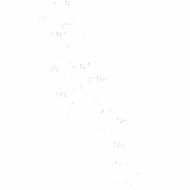 O=C(NCc1ccccc1)NC1CCC(Nc2cc(NC3CC3)c3ncc(C(=O)Nc4ccncc4F)n3n2)CC1